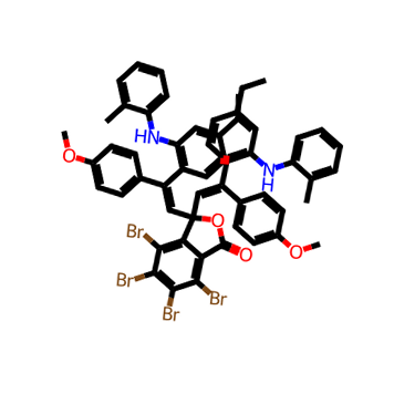 CCc1ccc(C(=CC2(C=C(c3ccc(OC)cc3)c3ccc(CC)cc3Nc3ccccc3C)OC(=O)c3c(Br)c(Br)c(Br)c(Br)c32)c2ccc(OC)cc2)c(Nc2ccccc2C)c1